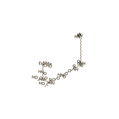 CC[C@@](C=O)(CCCCNC(=O)CC[C@H](NC(=O)CC[C@H](NC(=O)COCCOCCNC(=O)COCCOCCNC(=O)CCCS(=O)(=O)NC(=O)CCCCCCCCCCCCCCCc1nnn[nH]1)C(=O)O)C(=O)O)NC